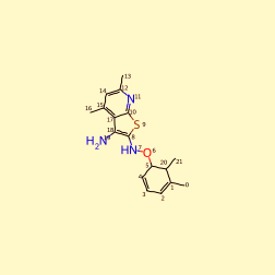 CC1=CC=CC(ONc2sc3nc(C)cc(C)c3c2N)C1C